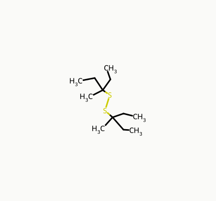 CCC(C)(CC)SSC(C)(CC)CC